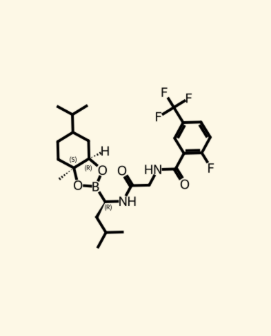 CC(C)C[C@H](NC(=O)CNC(=O)c1cc(C(F)(F)F)ccc1F)B1O[C@@H]2CC(C(C)C)CC[C@]2(C)O1